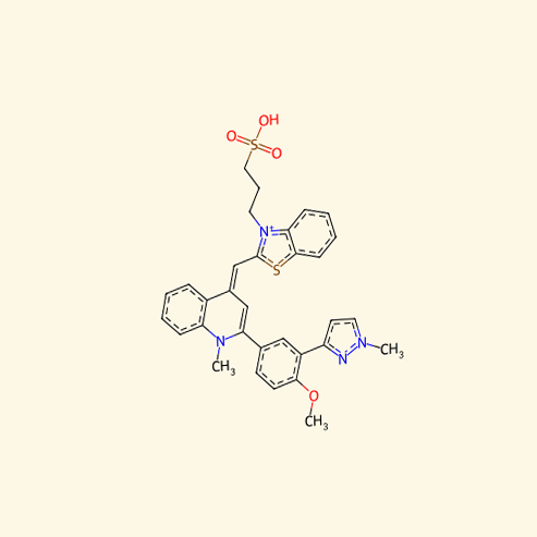 COc1ccc(C2=C/C(=C\c3sc4ccccc4[n+]3CCCS(=O)(=O)O)c3ccccc3N2C)cc1-c1ccn(C)n1